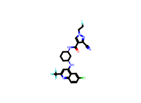 N#Cc1nn(CCF)cc1C(=O)N[C@@H]1CCC[C@H](Nc2cc(C(F)(F)F)nc3ccc(Cl)cc23)C1